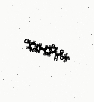 CC(C)(C)OC(=O)N[C@H]1COc2cc(-c3cn4cc(Cl)cnc4n3)ccc21